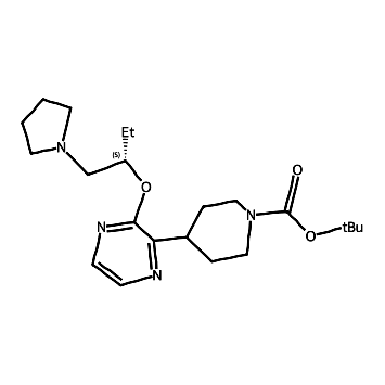 CC[C@@H](CN1CCCC1)Oc1nccnc1C1CCN(C(=O)OC(C)(C)C)CC1